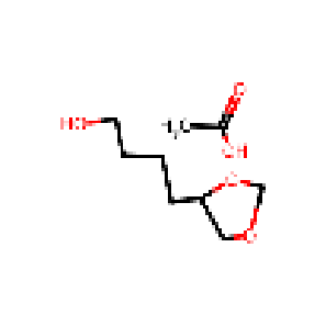 CC(=O)O.OCCCCC1COCO1